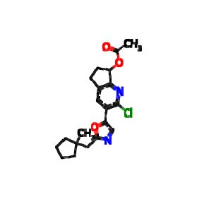 CC(=O)OC1CCc2cc(-c3cnc(CC4(C)CCCC4)o3)c(Cl)nc21